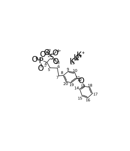 O=P([O-])([O-])C(CCCc1ccc(Oc2ccccc2)cc1)S(=O)(=O)[O-].[K+].[K+].[K+]